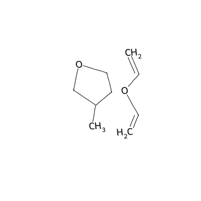 C=COC=C.CC1CCOC1